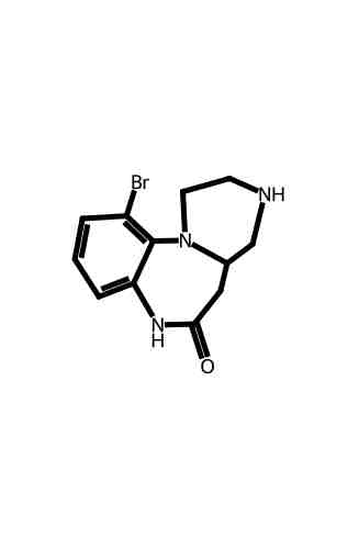 O=C1CC2CNCCN2c2c(Br)cccc2N1